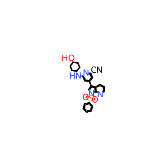 N#Cc1cc(-c2cn(S(=O)(=O)c3ccccc3)c3ncccc23)cc(N[C@H]2CC[C@H](O)CC2)n1